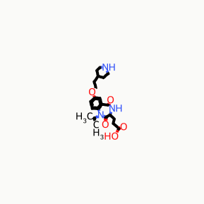 CC(C)N1C(=O)C(CCC(=O)O)NC(=O)c2cc(OCCC3CCNCC3)ccc21